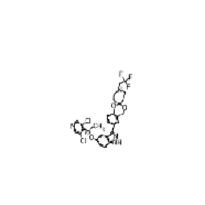 C[C@@H](Oc1ccc2[nH]nc(-c3ccc4c(c3)COC3(CCN(CC(F)(F)F)CC3)O4)c2c1)c1c(Cl)cncc1Cl